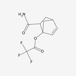 NC(=O)C1CC2C=CC1(OC(=O)C(F)(F)F)C2